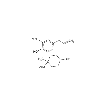 C=CCc1ccc(O)c(OC)c1.CC(=O)OC1(C)CCC(C(C)C)CC1